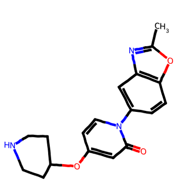 Cc1nc2cc(-n3ccc(OC4CCNCC4)cc3=O)ccc2o1